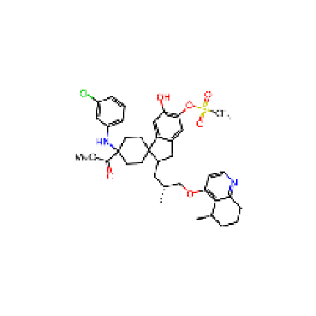 COC(=O)C1(Nc2cccc(Cl)c2)CCC2(CC1)c1cc(O)c(OS(=O)(=O)C(F)(F)F)cc1CC2C[C@@H](C)COc1ccnc2c1[C@H](C)CCC2